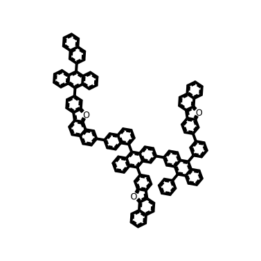 c1ccc(-c2c3ccccc3c(-c3cccc(-c4ccc5c(c4)oc4c6ccccc6ccc54)c3)c3ccc(-c4ccc5c(-c6cccc7cc(-c8ccc9ccc%10c%11ccc(-c%12c%13ccccc%13c(-c%13ccc%14ccccc%14c%13)c%13ccccc%12%13)cc%11oc%10c9c8)ccc67)c6ccccc6c(-c6ccc7c(c6)oc6c8ccccc8ccc76)c5c4)cc23)cc1